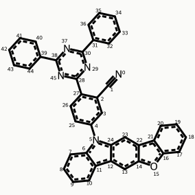 N#Cc1cc(-n2c3ccccc3c3cc4oc5ccccc5c4cc32)ccc1-c1nc(-c2ccccc2)nc(-c2ccccc2)n1